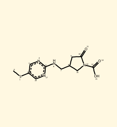 CSc1cnc(NCC2CC(=O)N(C(=O)O)C2)nc1